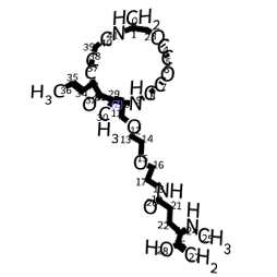 C=C1COCCOCCN/C(COCCOCCNC(=O)CCC(NC)C(=C)O)=C(/C)C(=O)C(C=CC)CCCCN1